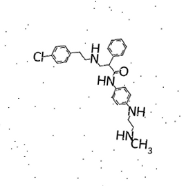 CNCCNc1ccc(NC(=O)C(CNCCc2ccc(Cl)cc2)c2ccccc2)cc1